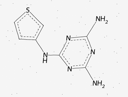 Nc1nc(N)nc(Nc2ccsc2)n1